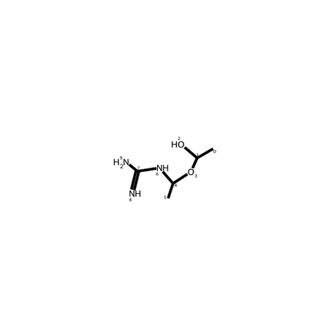 CC(O)OC(C)NC(=N)N